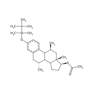 CC(=O)O[C@H]1CCC2C3C(c4ccc(O[Si](C)(C)C(C)(C)C)cc4C[C@H]3C)[C@@H](C)C[C@@]21C